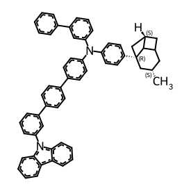 C[C@H]1CC2C[C@H]3C[C@](c4ccc(N(c5ccc(-c6ccc(-c7cccc(-n8c9ccccc9c9ccccc98)c7)cc6)cc5)c5cccc(-c6ccccc6)c5)cc4)(C1)C23